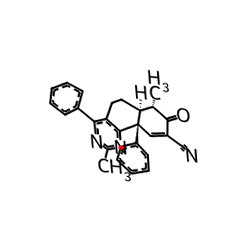 Cc1nc(-c2ccccc2)c2c(n1)[C@@]1(c3ccccc3)C=C(C#N)C(=O)[C@@H](C)[C@@H]1CC2